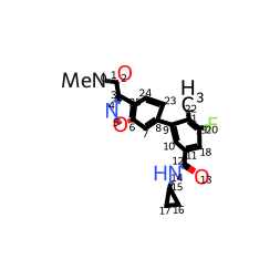 CNC(=O)c1noc2cc(-c3cc(C(=O)NC4CC4)cc(F)c3C)ccc12